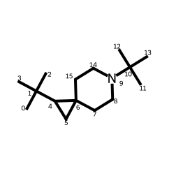 CC(C)(C)C1CC12CCN(C(C)(C)C)CC2